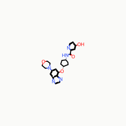 O=C(N[C@H]1CC[C@@H](Oc2cc(N3CCOCC3)cc3nccnc23)CC1)c1cc(O)ccn1